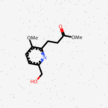 COC(=O)CCc1nc(CO)ccc1OC